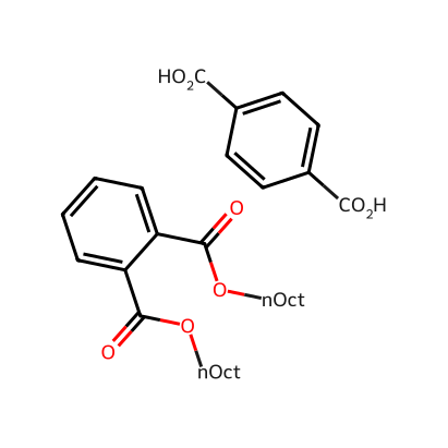 CCCCCCCCOC(=O)c1ccccc1C(=O)OCCCCCCCC.O=C(O)c1ccc(C(=O)O)cc1